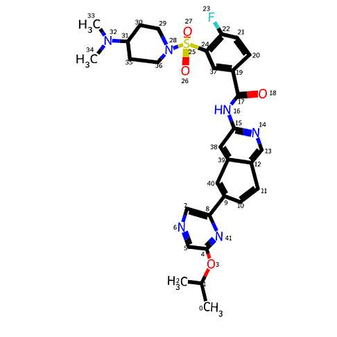 CC(C)Oc1cncc(-c2ccc3cnc(NC(=O)c4ccc(F)c(S(=O)(=O)N5CCC(N(C)C)CC5)c4)cc3c2)n1